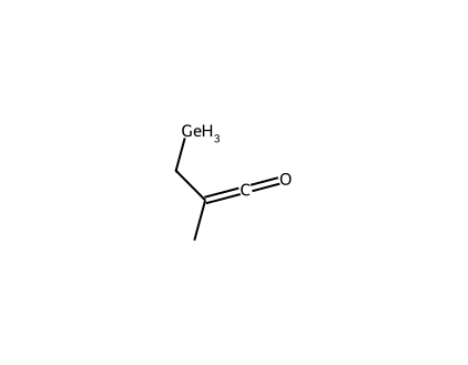 CC(=C=O)[CH2][GeH3]